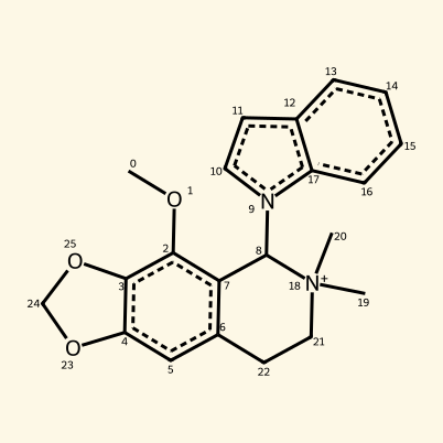 COc1c2c(cc3c1C(n1ccc4ccccc41)[N+](C)(C)CC3)OCO2